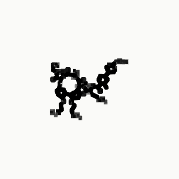 CCCCCCc1ncc(-c2ccc(C(=O)N[C@@H](CCN)C(=O)N(C)[C@@H]3C(=O)N[C@@H](C)C(=O)N[C@H](C(=O)NCC#N)Cc4ccc(OCCN)c(c4)-c4cc3ccc4OCCN)c(C)c2)cn1